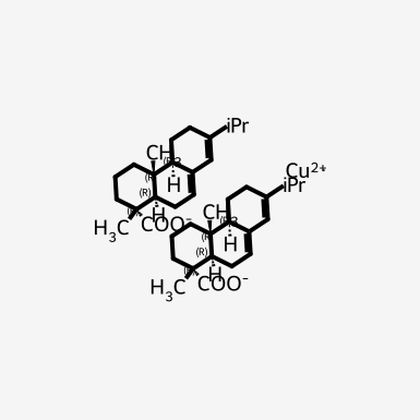 CC(C)C1=CC2=CC[C@@H]3[C@](C)(CCC[C@@]3(C)C(=O)[O-])[C@H]2CC1.CC(C)C1=CC2=CC[C@@H]3[C@](C)(CCC[C@@]3(C)C(=O)[O-])[C@H]2CC1.[Cu+2]